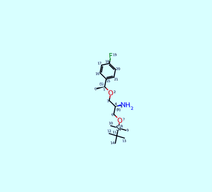 C[C@H](OC[C@@H](N)CO[Si](C)(C)C(C)(C)C)c1ccc(F)cc1